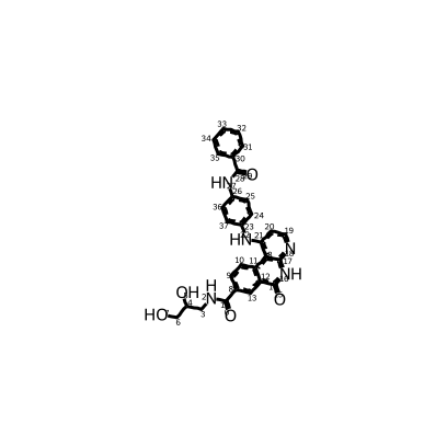 O=C(NCC(O)CO)c1ccc2c(c1)c(=O)[nH]c1nccc(Nc3ccc(NC(=O)c4ccccc4)cc3)c12